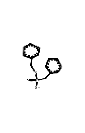 S=P(S)(Cc1ccccc1)SCc1ccccc1